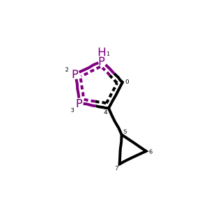 c1[pH]ppc1C1CC1